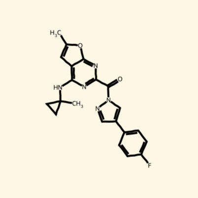 Cc1cc2c(NC3(C)CC3)nc(C(=O)n3cc(-c4ccc(F)cc4)cn3)nc2o1